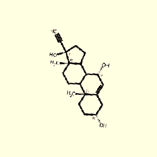 C#C[C@]1(O)CCC2C3C(CC[C@@]21C)[C@@]1(C)CC[C@@H](O)CC1=C[C@H]3O